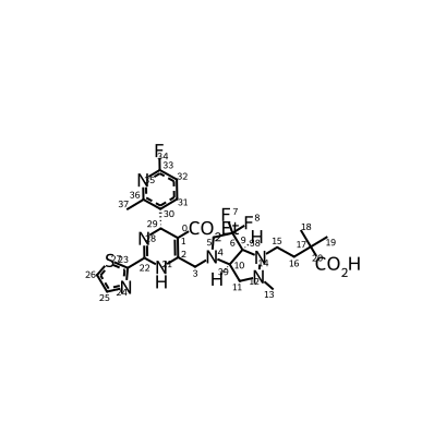 CCOC(=O)C1=C(CN2CC(F)(F)[C@@H]3[C@H]2CN(C)N3CCC(C)(C)C(=O)O)NC(c2nccs2)=N[C@@H]1c1ccc(F)nc1C